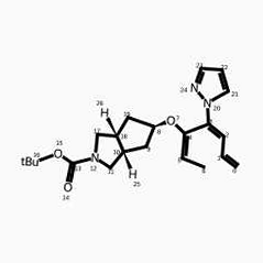 C=C/C=C(\C(=C/C)O[C@H]1C[C@@H]2CN(C(=O)OC(C)(C)C)C[C@@H]2C1)n1cccn1